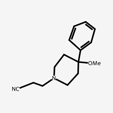 COC1(c2ccccc2)CCN(CCC#N)CC1